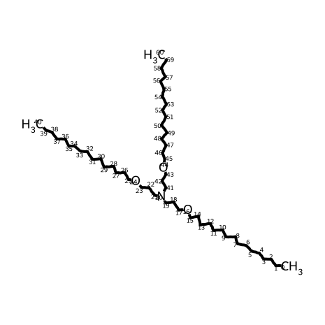 CCCCCCCCCCCCCCCCOCCCN(CCCOCCCCCCCCCCCCCCCC)CCCOCCCCCCCCCCCCCCCC